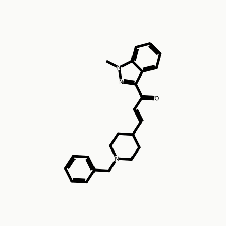 Cn1nc(C(=O)/C=C/C2CCN(Cc3ccccc3)CC2)c2ccccc21